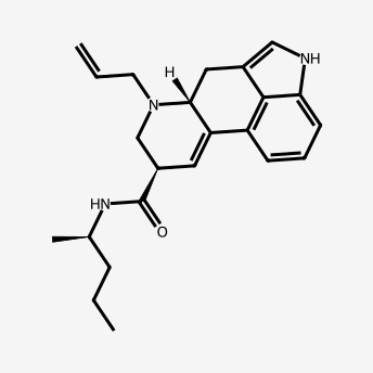 C=CCN1C[C@H](C(=O)N[C@H](C)CCC)C=C2c3cccc4[nH]cc(c34)C[C@H]21